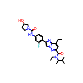 CCc1cc(C(=O)N(CC)C(C)C(C)C)nn2cc(-c3ccc(NC(=O)N4CC[C@@H](O)C4)cc3F)nc12